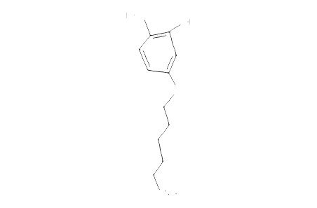 CCCCCCCCCCCCCCOc1ccc(C(=O)O)c(O)c1